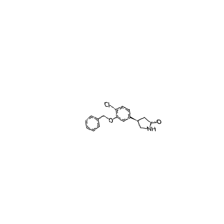 O=C1C[C@H](c2ccc(Cl)c(OCc3ccccc3)c2)CN1